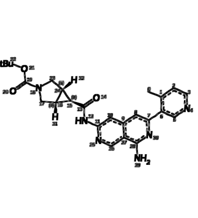 Cc1ccncc1-c1cc2cc(NC(=O)[C@H]3[C@@H]4CN(C(=O)OC(C)(C)C)C[C@@H]43)ncc2c(N)n1